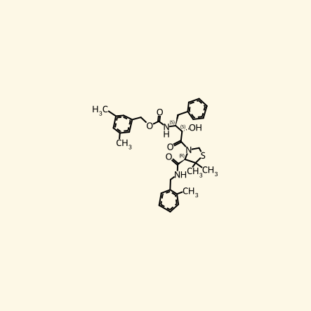 Cc1cc(C)cc(COC(=O)N[C@@H](Cc2ccccc2)[C@H](O)C(=O)N2CSC(C)(C)[C@H]2C(=O)NCc2ccccc2C)c1